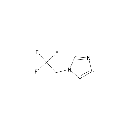 FC(F)(F)Cn1c[c]nc1